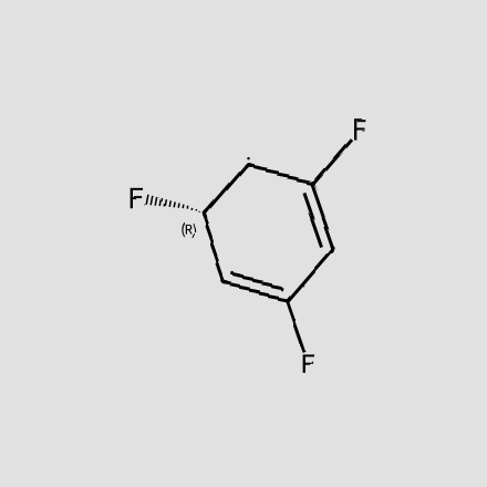 FC1=CC(F)=C[C@H](F)[CH]1